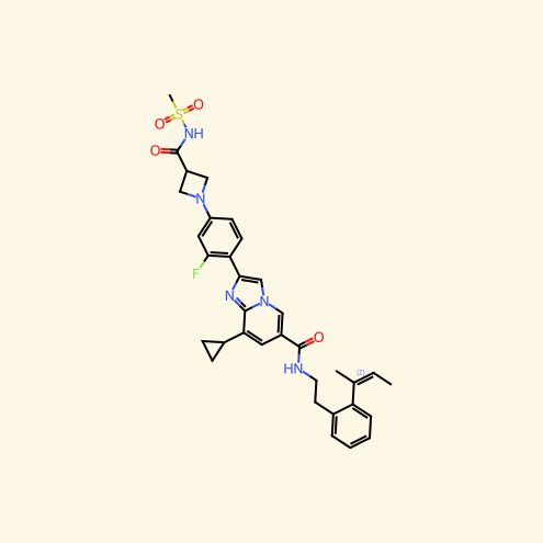 C/C=C(/C)c1ccccc1CCNC(=O)c1cc(C2CC2)c2nc(-c3ccc(N4CC(C(=O)NS(C)(=O)=O)C4)cc3F)cn2c1